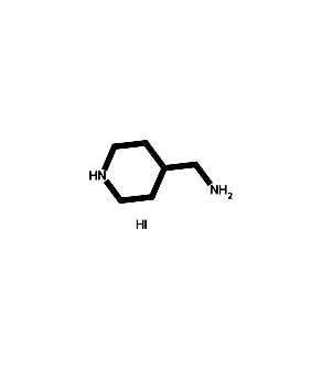 I.NCC1CCNCC1